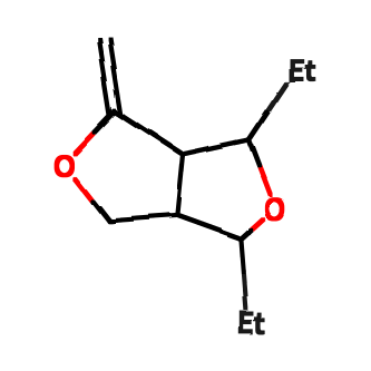 C=C1OCC2C(CC)OC(CC)C12